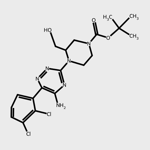 CC(C)(C)OC(=O)N1CCN(c2nnc(-c3cccc(Cl)c3Cl)c(N)n2)C(CO)C1